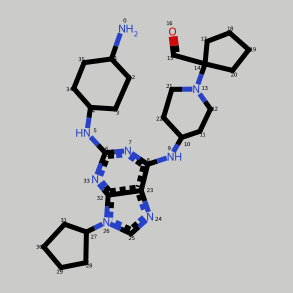 NC1CCC(Nc2nc(NC3CCN(C4(C=O)CCCC4)CC3)c3ncn(C4CCCC4)c3n2)CC1